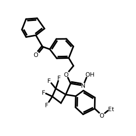 CCOc1ccc(C2(C(=NO)OCc3cccc(C(=O)c4ccccc4)c3)CC(F)(F)C2(F)F)cc1